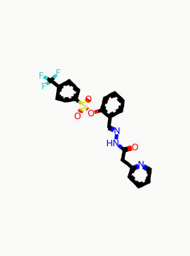 O=C(Cc1ccccn1)NN=Cc1ccccc1OS(=O)(=O)c1ccc(C(F)(F)F)cc1